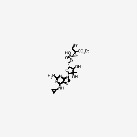 CCOC(=O)[C@H](CC(C)C)NP(=O)(O)OC[C@H]1O[C@@H](n2cnc3c(NC4CC4)nc(N)nc32)C(C)(O)C1O